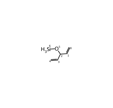 C=CC(C=C)O[SiH3]